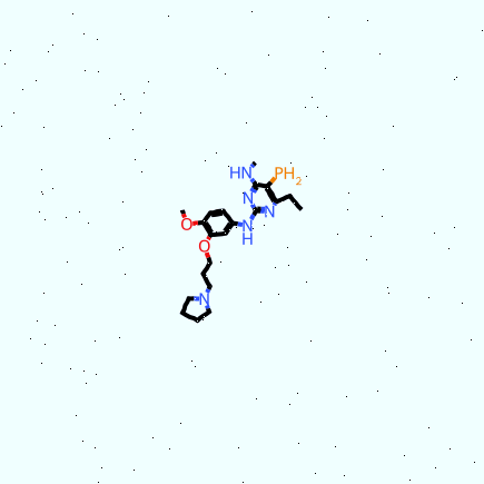 CCc1nc(Nc2ccc(OC)c(OCCCN3CCCC3)c2)nc(NC)c1P